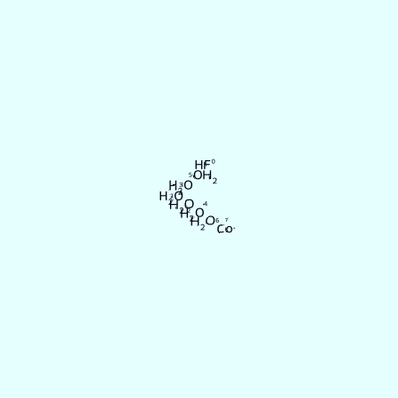 F.O.O.O.O.O.O.[Co]